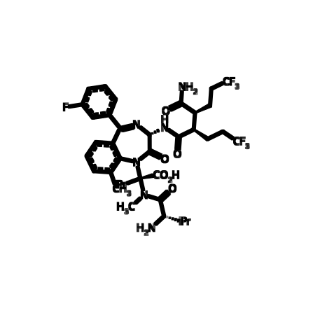 Cc1cccc2c1N([C@@](C(=O)O)(C(C)C)N(C)C(=O)[C@@H](N)C(C)C)C(=O)[C@@H](NC(=O)[C@H](CCC(F)(F)F)[C@H](CCC(F)(F)F)C(N)=O)N=C2c1cccc(F)c1